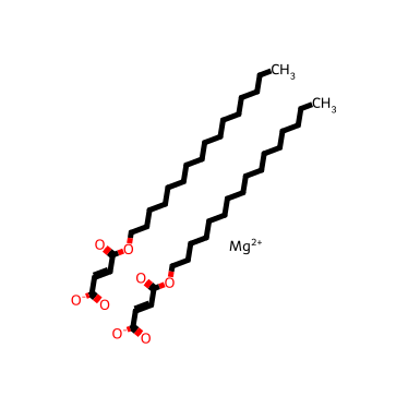 CCCCCCCCCCCCCCCCOC(=O)/C=C/C(=O)[O-].CCCCCCCCCCCCCCCCOC(=O)/C=C/C(=O)[O-].[Mg+2]